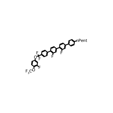 CCCCCc1ccc(-c2ccc(-c3ccc(-c4ccc(C(F)(F)Oc5ccc(OC(F)(F)F)c(F)c5)cc4)c(F)c3)c(F)c2)cc1